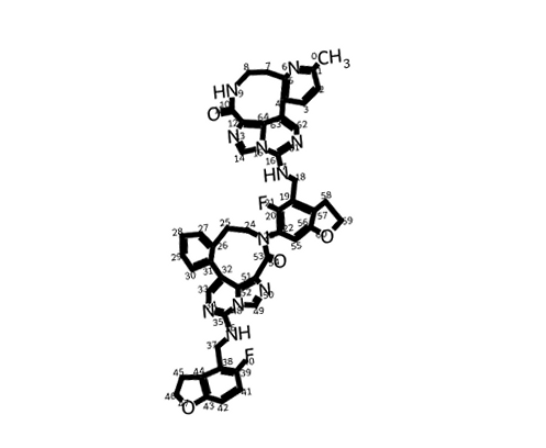 Cc1ccc2c(n1)CCNC(=O)c1ncn3c(NCc4c(F)c(N5CCc6ccccc6-c6cnc(NCc7c(F)ccc8c7CCO8)n7cnc(c67)C5=O)cc5c4CCO5)ncc-2c13